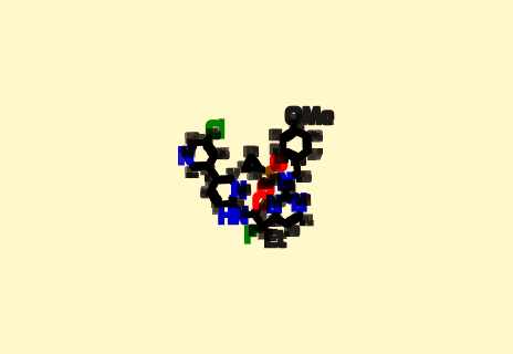 CCC(F)(C(=O)Nc1ccc(-c2cncc(Cl)c2)cn1)c1ccnc(N(Cc2ccc(OC)cc2)S(=O)(=O)C2CC2)n1